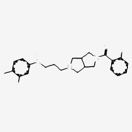 Cc1ccc(NCCCN2CC3CN(C(=O)c4ccccc4Cl)CC3C2)cc1Cl